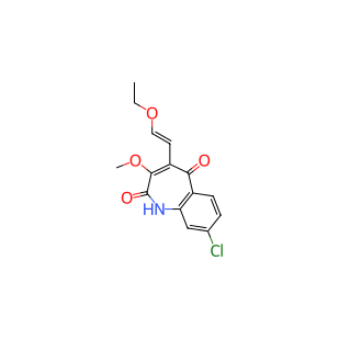 CCO/C=C/c1c(OC)c(=O)[nH]c2cc(Cl)ccc2c1=O